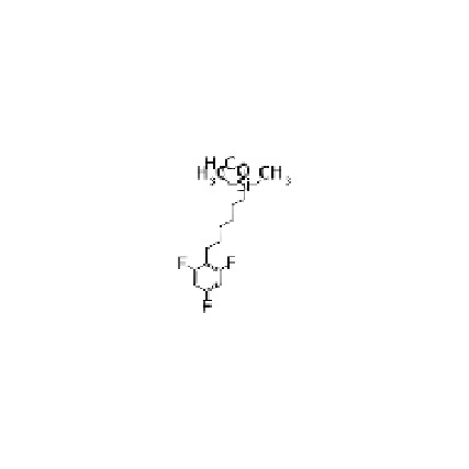 CC[Si](CC)(CCCCCCc1c(F)cc(F)cc1F)OC